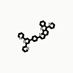 c1ccc(-c2cc(-c3ccc(-c4ccc5ccc6c(-c7ccccn7)c7ccccc7nc6c5n4)cc3)cc(-c3ccccn3)n2)nc1